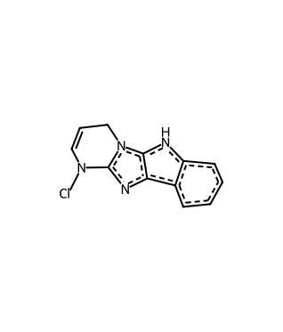 ClN1C=CCn2c1nc1c3ccccc3[nH]c12